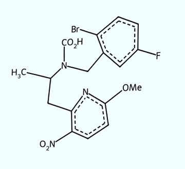 COc1ccc([N+](=O)[O-])c(CC(C)N(Cc2cc(F)ccc2Br)C(=O)O)n1